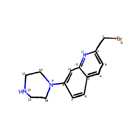 BrCc1ccc2ccc(N3CCNCC3)cc2n1